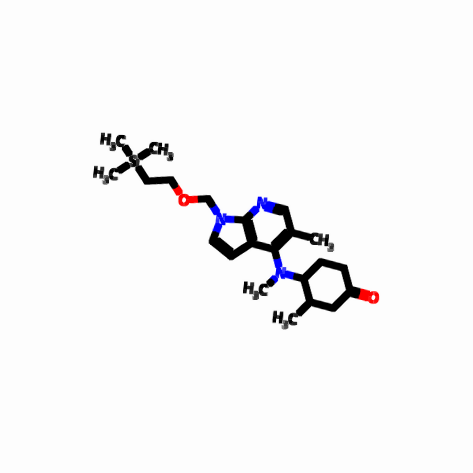 Cc1cnc2c(ccn2COCC[Si](C)(C)C)c1N(C)C1CCC(=O)CC1C